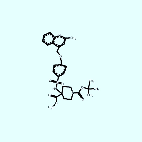 COC(=O)C1(NS(=O)(=O)c2ccc(OCc3cc(C)nc4ccccc34)cc2)CCN(C(=O)OC(C)(C)C)CC1